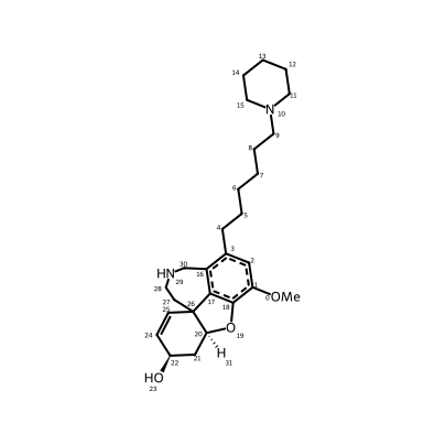 COc1cc(CCCCCCN2CCCCC2)c2c3c1O[C@H]1C[C@@H](O)C=CC31CCNC2